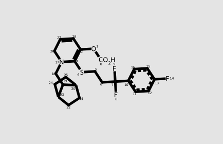 O=C(O)OC1=C(SCCC(F)(F)c2ccc(F)cc2)N(CC2C3CCC2CC3)CC=C1